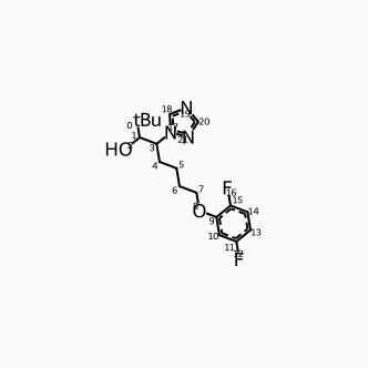 CC(C)(C)C(O)C(CCCCOc1cc(F)ccc1F)n1cncn1